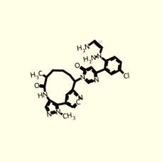 CC1CCCC(n2cnc(-c3cc(Cl)ccc3N(N)/C=C\N)cc2=O)c2cc(ccn2)-c2c(cnn2C)NC1=O